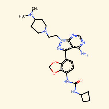 CN(C)C1CCN(CCn2nc(-c3ccc(NC(=O)NC4CCC4)c4c3OCO4)c3c(N)ncnc32)CC1